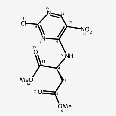 COC(=O)C[C@H](Nc1nc(Cl)ncc1[N+](=O)[O-])C(=O)OC